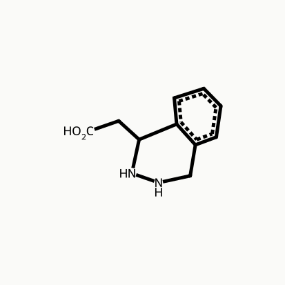 O=C(O)CC1NNCc2ccccc21